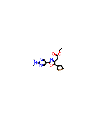 CCOC(=O)Cc1nc(-c2cnc(N(C)C)nc2)oc1-c1ccsc1